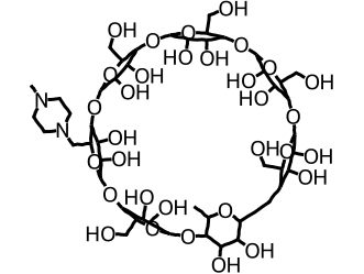 CC1OC2CC3C(CO)OC(OC4C(CO)OC(OC5C(CO)OC(OC6C(CO)OC(OC7C(CN8CCN(C)CC8)OC(OC8C(CO)OC(OC1C(O)C2O)C(O)C8O)C(O)C7O)C(O)C6O)C(O)C5O)C(O)C4O)C(O)C3O